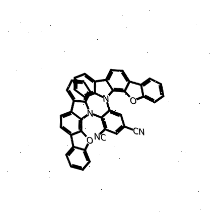 N#Cc1cc(C#N)c(-n2c3ccccc3c3ccc4c5ccccc5oc4c32)c(-n2c3ccccc3c3ccc4c5ccccc5oc4c32)c1